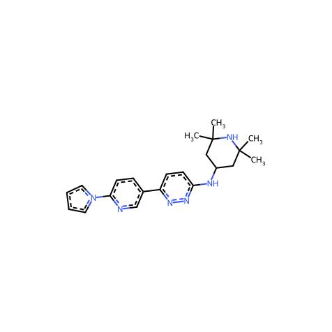 CC1(C)CC(Nc2ccc(-c3ccc(-n4cccc4)nc3)nn2)CC(C)(C)N1